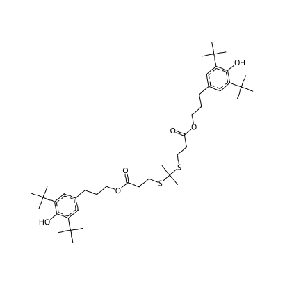 CC(C)(SCCC(=O)OCCCc1cc(C(C)(C)C)c(O)c(C(C)(C)C)c1)SCCC(=O)OCCCc1cc(C(C)(C)C)c(O)c(C(C)(C)C)c1